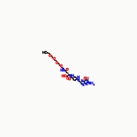 C#CCOCCOCCOCCOCCNC(=O)CC[C@H](NC(=O)c1ccc(NCc2cnc3nc(N)nc(O)c3n2)cc1)C(=O)O